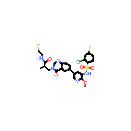 COc1ncc(-c2ccc3ncn(CC(C)C(=O)NCCF)c(=O)c3c2)cc1NS(=O)(=O)c1ccc(F)cc1Cl